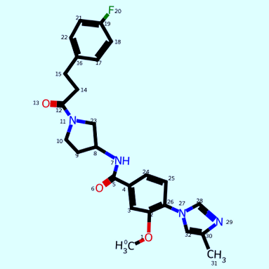 COc1cc(C(=O)NC2CCN(C(=O)CCc3ccc(F)cc3)C2)ccc1-n1cnc(C)c1